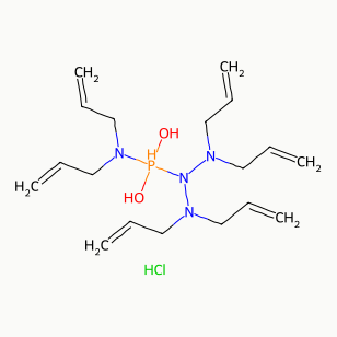 C=CCN(CC=C)N(N(CC=C)CC=C)[PH](O)(O)N(CC=C)CC=C.Cl